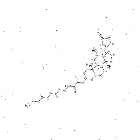 CC12CCC(OCC(=O)NCCOCCOCCN)CC1CCC1C2CC(O)C2(C)C(C3=CC(=O)OC3)CCC12O